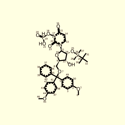 COc1ccc(C(OC[C@H]2O[C@@H](n3ccc(=O)n(O[PH](=O)O)c3=O)[C@H](O[Si](C)(C)C(C)(C)C)[C@@H]2O)(c2ccccc2)c2ccc(OC)cc2)cc1